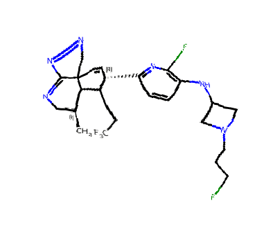 C[C@H]1CN=C2N=NCC23C=C[C@H](c2ccc(NC4CN(CCCF)C4)c(F)n2)C(CC(F)(F)F)C13